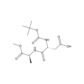 COC(=O)[C@H](C)NC(=O)[C@@H](CC(=O)O)NC(=O)OC(C)(C)C